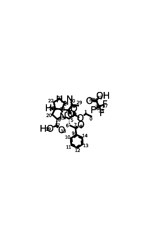 CCOC(=O)[C@H](CC(=O)c1ccccc1)N1[C@@H](C(=O)O)C[C@@H]2CCC[C@@]21C(=O)C(C)N.O=C(O)C(F)(F)F